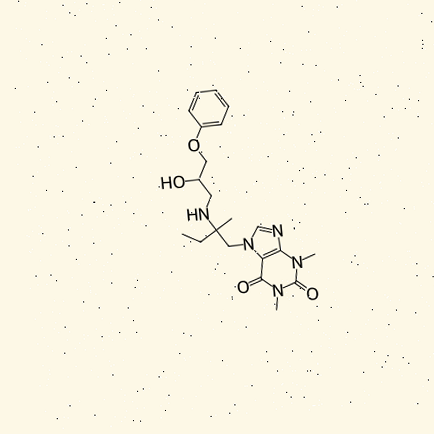 CCC(C)(Cn1cnc2c1c(=O)n(C)c(=O)n2C)NCC(O)COc1ccccc1